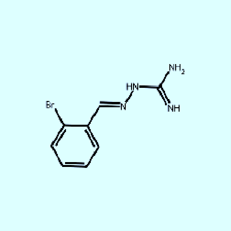 N=C(N)N/N=C/c1ccccc1Br